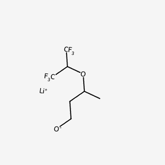 CC(CC[O-])OC(C(F)(F)F)C(F)(F)F.[Li+]